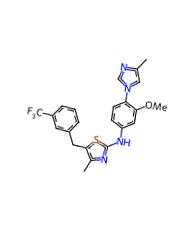 COc1cc(Nc2nc(C)c(Cc3cccc(C(F)(F)F)c3)s2)ccc1-n1cnc(C)c1